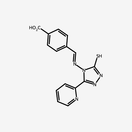 O=C(O)c1ccc(C=Nn2c(S)nnc2-c2ccccn2)cc1